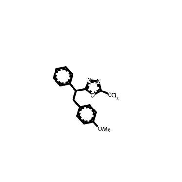 COc1ccc(CC(c2ccccc2)c2nnc(C(Cl)(Cl)Cl)o2)cc1